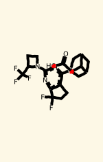 O=C(O)CC1C2CC1CN(c1nc(N3CCC3C(F)(F)F)nc3c1CCC3(F)F)C2